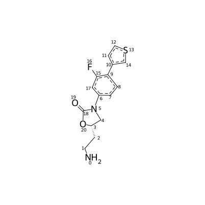 NCC[C@H]1CN(c2ccc(-c3ccsc3)c(F)c2)C(=O)O1